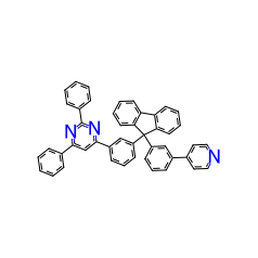 c1ccc(-c2cc(-c3cccc(C4(c5cccc(-c6ccncc6)c5)c5ccccc5-c5ccccc54)c3)nc(-c3ccccc3)n2)cc1